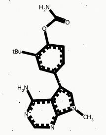 Cn1cc(-c2ccc(OC(N)=O)c(C(C)(C)C)c2)c2c(N)ncnc21